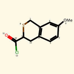 COc1ccc2c(c1)CSC(C(=O)Cl)C2